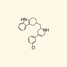 Clc1cccc(C2=CCNC(CC3CCc4[nH]c5ccccc5c4C3)C2)c1